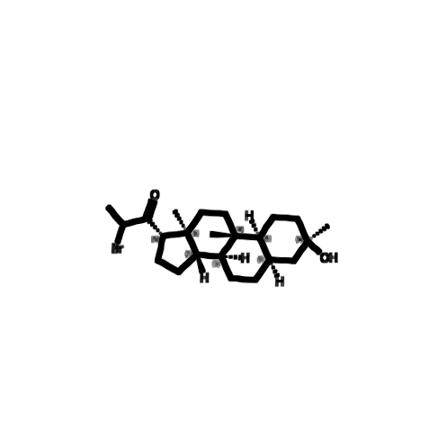 CC(Br)C(=O)[C@H]1CC[C@H]2[C@@H]3CC[C@@H]4C[C@](C)(O)CC[C@@H]4[C@@]3(C)CC[C@]12C